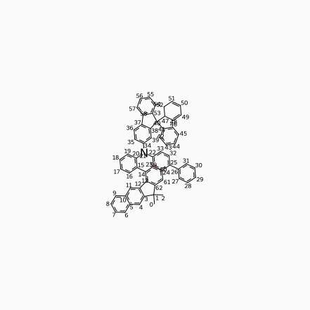 CC1(C)c2cc3ccccc3cc2-c2c(-c3ccccc3N(c3ccc(-c4ccccc4)cc3)c3ccc4c(c3)C(c3ccccc3)(C3C=CC=CC3)c3ccccc3-4)cccc21